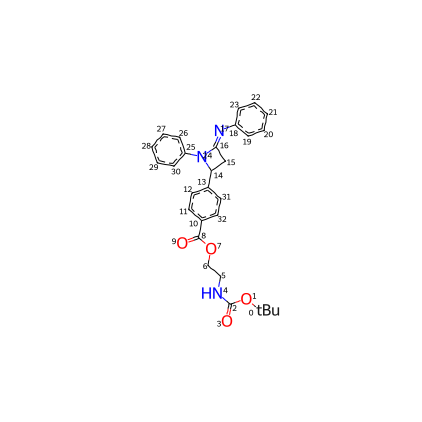 CC(C)(C)OC(=O)NCCOC(=O)c1ccc(C2CC(=Nc3ccccc3)N2c2ccccc2)cc1